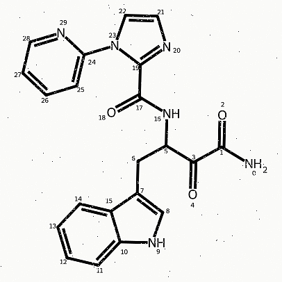 NC(=O)C(=O)C(Cc1c[nH]c2ccccc12)NC(=O)c1nccn1-c1ccccn1